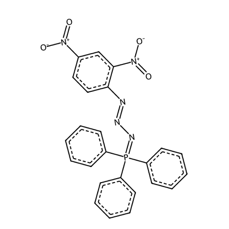 O=[N+]([O-])c1ccc(N=NN=P(c2ccccc2)(c2ccccc2)c2ccccc2)c([N+](=O)[O-])c1